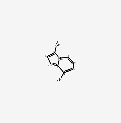 CC(=O)c1cnc2c(F)cccn12